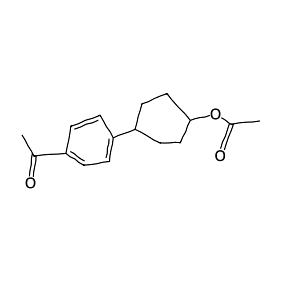 CC(=O)OC1CCC(c2ccc(C(C)=O)cc2)CC1